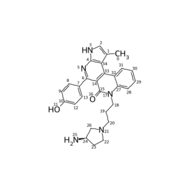 Cc1c[nH]c2nc(-c3ccc(O)cc3)c3c(=O)n(CCCN4CC[C@@H](N)C4)c4ccccc4c3c12